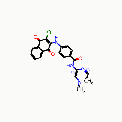 C=N/C=C(\N=C/C)NC(=O)c1ccc(NC2=C(Cl)C(=O)c3ccccc3C2=O)cc1